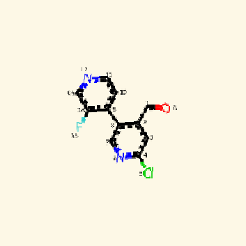 O=Cc1cc(Cl)ncc1-c1ccncc1F